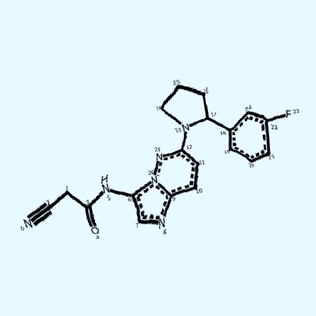 N#CCC(=O)Nc1cnc2ccc(N3CCCC3c3cccc(F)c3)nn12